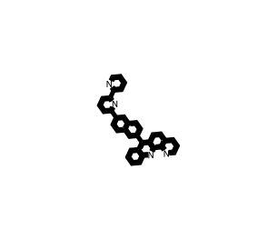 c1ccc(-c2cccc(-c3ccc4cc(-c5c6ccccc6nc6c5ccc5cccnc56)ccc4c3)n2)nc1